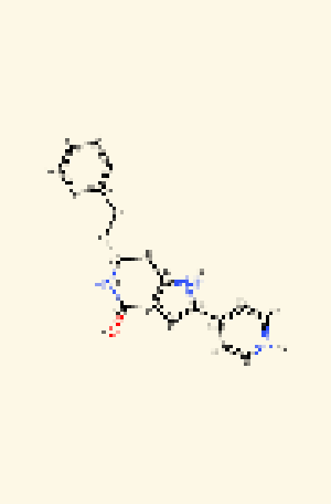 O=C1N[C@H](CCc2ccccc2)Cc2[nH]c(-c3ccncc3)cc21